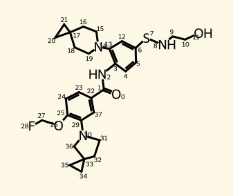 O=C(Nc1ccc(SNCCO)cc1N1CCC2(CC1)CC2)c1ccc(OCF)c(N2CCC3(CC3)C2)c1